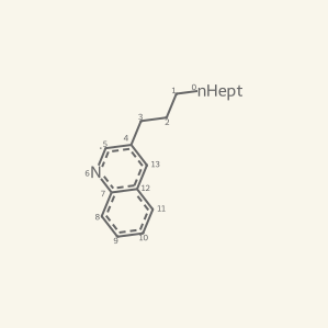 CCCCCCCCCCc1[c]nc2ccccc2c1